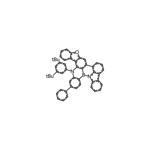 CC(C)(C)c1cc(N2c3cc(-c4ccccc4)ccc3B3c4c(cc5oc6ccccc6c5c42)-c2cccc4c5ccccc5n3c24)cc(C(C)(C)C)c1